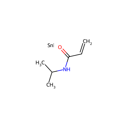 C=CC(=O)NC(C)C.[Sn]